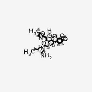 CCCCN(CCN)C(=O)CN1C[C@H](c2ccc3c(c2)OCO3)[C@@H](C(=O)O)[C@@H]1CCc1ncc(C)o1